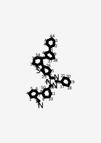 N#Cc1ccccc1-c1cccc(-c2nc(-c3ccccc3)nc(-c3ccc4c(c3)sc3cccc(-c5cccc(-c6ccccc6)c5)c34)n2)c1